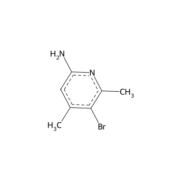 Cc1cc(N)nc(C)c1Br